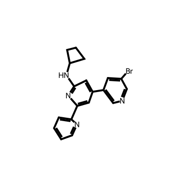 Brc1cncc(-c2cc(NC3CCC3)nc(-c3ccccn3)c2)c1